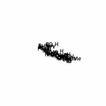 COC(=O)NC(C(=O)N1[C@@H](C)CC[C@H]1c1nc2ccc3cc4c(cc3c2[nH]1)OCc1cc(-c2cnc([C@@H]3C[C@H](COC(F)F)CN3C(=O)C(NC(=O)O)C(C)C)[nH]2)ccc1-4)C(C)C